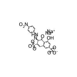 O=C1/C(=N\Nc2ccc([N+](=O)[O-])cc2)C(S(=O)(=O)[O-])=Cc2cc(S(=O)(=O)[O-])cc(O)c21.[Na+].[Na+]